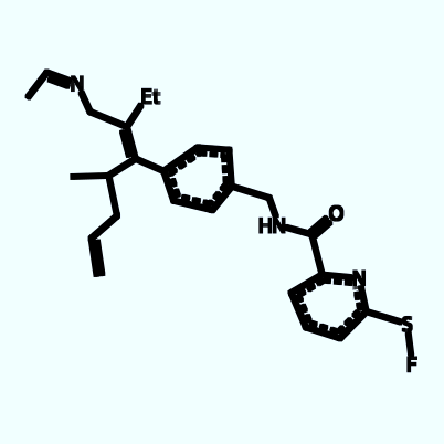 C=CCC(C)/C(=C(/CC)C/N=C\C)c1ccc(CNC(=O)c2cccc(SF)n2)cc1